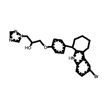 OC(COc1ccc(C2CCCCc3c2[nH]c2ccc(Br)cc32)cc1)Cn1cncn1